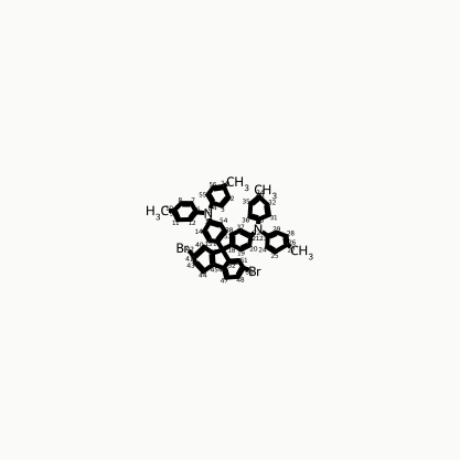 Cc1ccc(N(c2ccc(C)cc2)c2ccc(C3(c4ccc(N(c5ccc(C)cc5)c5ccc(C)cc5)cc4)c4cc(Br)ccc4-c4ccc(Br)cc43)cc2)cc1